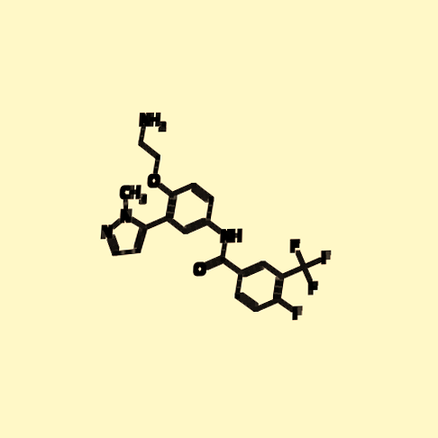 Cn1nccc1-c1cc(NC(=O)c2ccc(F)c(C(F)(F)F)c2)ccc1OCCN